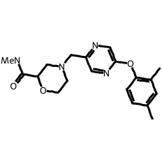 CNC(=O)C1CN(Cc2cnc(Oc3ccc(C)cc3C)cn2)CCO1